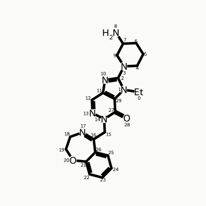 CCn1c(N2CCCC(N)C2)nc2cnn(CC3=NCCOc4ccccc43)c(=O)c21